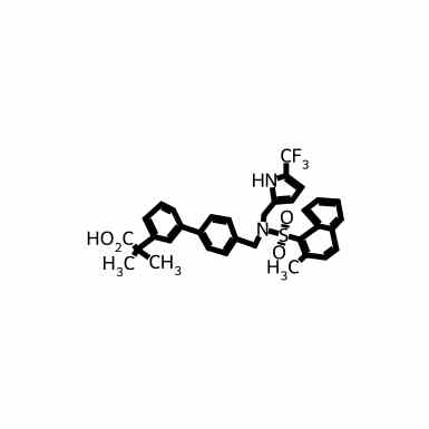 Cc1ccc2ccccc2c1S(=O)(=O)N(Cc1ccc(-c2cccc(C(C)(C)C(=O)O)c2)cc1)Cc1ccc(C(F)(F)F)[nH]1